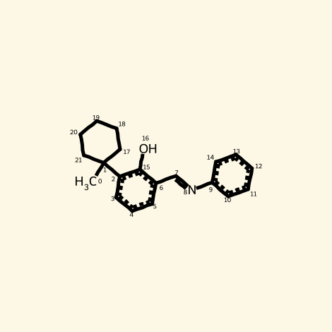 CC1(c2cccc(/C=N/c3ccccc3)c2O)CCCCC1